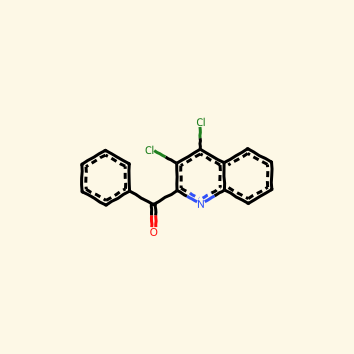 O=C(c1ccccc1)c1nc2ccccc2c(Cl)c1Cl